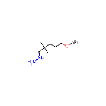 CCCOCCCC(C)(C)CNN